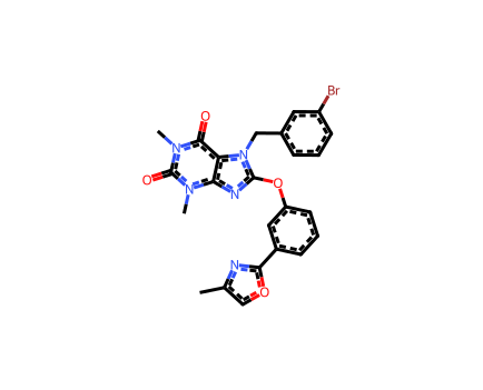 Cc1coc(-c2cccc(Oc3nc4c(c(=O)n(C)c(=O)n4C)n3Cc3cccc(Br)c3)c2)n1